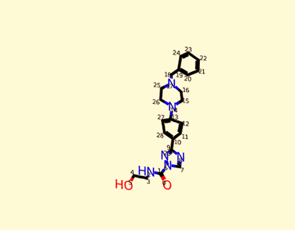 O=C(NCCO)n1cnc(-c2ccc(N3CCN(Cc4ccccc4)CC3)cc2)n1